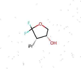 CC(C)[C@H]1[C@@H](O)COC1(F)F